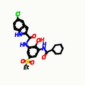 CCS(=O)(=O)c1cc(NC(=O)c2cc3cc(Cl)ccc3[nH]2)c(O)c(NC(=O)C2CCCCC2)c1